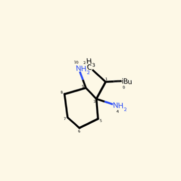 CCC(C)C(C)C1(N)CCCCC1N